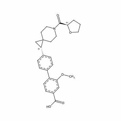 COc1cc(C(=O)O)ccc1-c1ccc([C@@H]2CC23CCN(C(=O)[C@H]2CCCO2)CC3)cc1